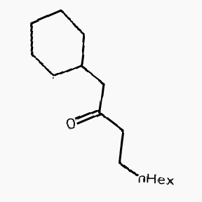 CCCCCCCCC(=O)CC1[CH]CCCC1